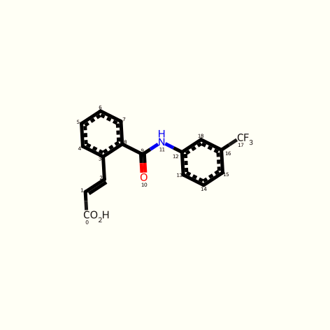 O=C(O)C=Cc1ccccc1C(=O)Nc1cccc(C(F)(F)F)c1